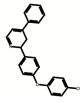 Clc1ccc(Oc2ccc(C3CC(c4ccccc4)=CC=N3)cc2)cc1